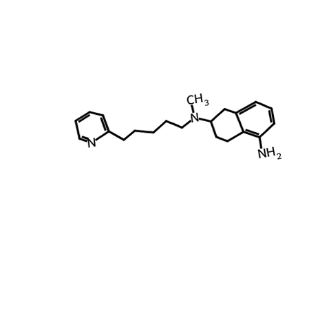 CN(CCCCCc1ccccn1)C1CCc2c(N)cccc2C1